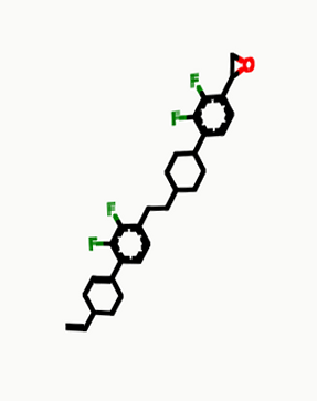 C=CC1CC=C(c2ccc(CCC3CCC(c4ccc(C5CO5)c(F)c4F)CC3)c(F)c2F)CC1